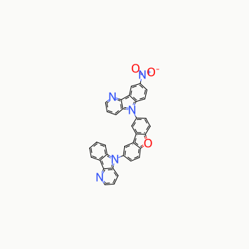 O=[N+]([O-])c1ccc2c(c1)c1ncccc1n2-c1ccc2oc3ccc(-n4c5ccccc5c5ncccc54)cc3c2c1